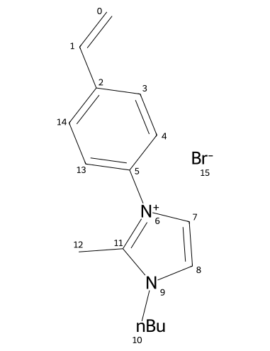 C=Cc1ccc(-[n+]2ccn(CCCC)c2C)cc1.[Br-]